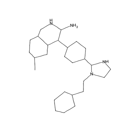 CC1CCC2CNC(N)C(C3CCC(C4NCCN4CCC4CCCCC4)CC3)C2C1